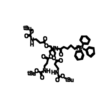 CC(C)(C)OC(=O)NCCC(=O)OCC(COC(=O)CCNC(=O)OC(C)(C)C)(COC(=O)CCNC(=O)OC(C)(C)C)NC(=O)CCCCC[PH](c1ccccc1)(c1ccccc1)c1ccccc1